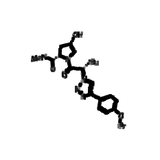 CNC(=O)[C@@H]1C[C@@H](O)CN1C(=O)[C@@H](n1cc(-c2ccc(OC(C)C)cc2)nn1)C(C)(C)C